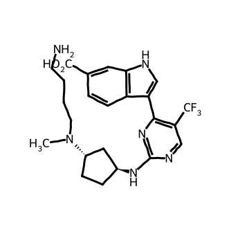 CN(CCCCN)[C@H]1CC[C@H](Nc2ncc(C(F)(F)F)c(-c3c[nH]c4cc(C(=O)O)ccc34)n2)C1